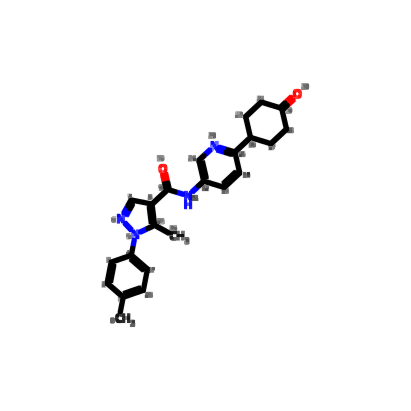 Cc1ccc(-n2ncc(C(=O)Nc3ccc(C4CCC(=O)CC4)nc3)c2C)cc1